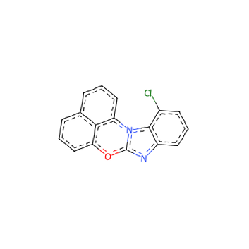 Clc1cccc2nc3oc4cccc5cccc(c54)n3c12